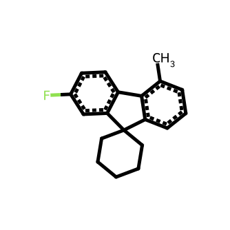 Cc1cccc2c1-c1ccc(F)cc1C21CCCCC1